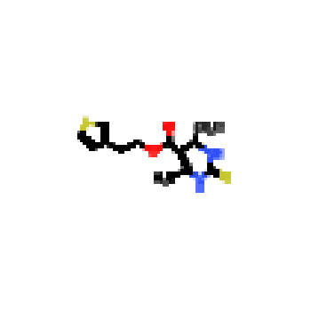 CCOC(=O)C1NC(=S)NC(C)=C1C(=O)OCCc1ccsc1